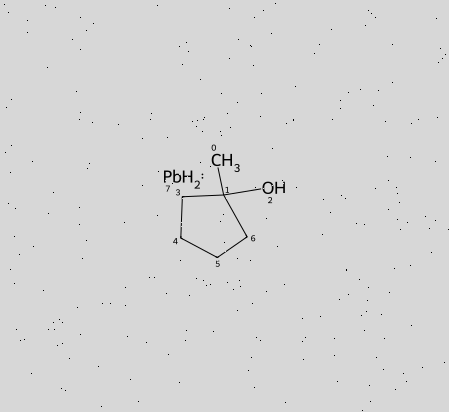 CC1(O)CCCC1.[PbH2]